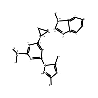 Cc1nc(C)n(-c2cc([C@H]3C[C@@H]3c3nc4ccccc4n3C)nc(N(C)C)n2)n1